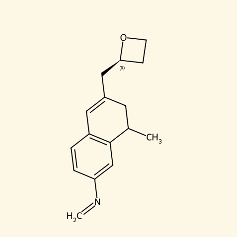 C=Nc1ccc2c(c1)C(C)CC(C[C@@H]1CCO1)=C2